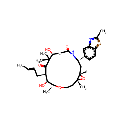 CC=CC[C@H]1C(=O)C(C)(C)[C@@H](O)CC(=O)N[C@H](c2ccc3sc(C)nc3c2)C[C@@H]2O[C@]2(C)CCO[C@H](C)[C@H]1O